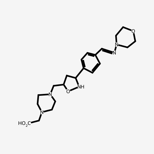 O=C(O)CN1CCN(CC2CC(c3ccc(C=NN4CCOCC4)cc3)NO2)CC1